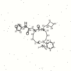 CN(C)[C@]1(c2ccccc2)CCCCN(CC(=O)Nc2ccon2)C(=O)N(CC2CCC2)CCC1